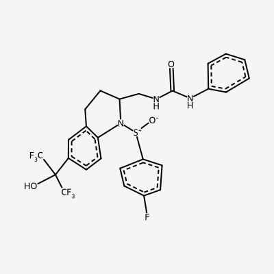 O=C(NCC1CCc2cc(C(O)(C(F)(F)F)C(F)(F)F)ccc2N1[S+]([O-])c1ccc(F)cc1)Nc1ccccc1